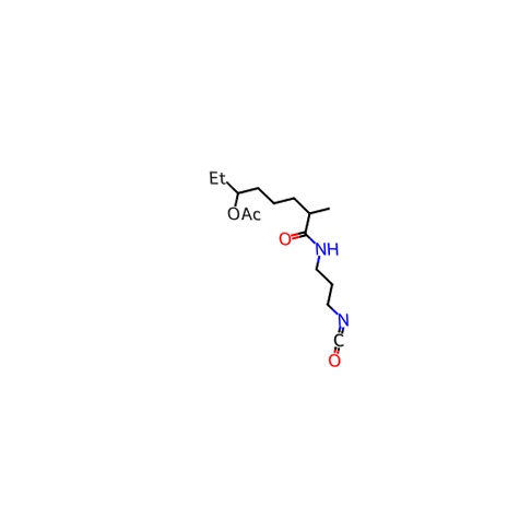 CCC(CCCC(C)C(=O)NCCCN=C=O)OC(C)=O